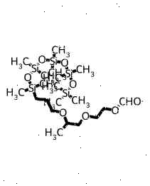 CC(COCCO[C]=O)OCCC[Si](C)(C)O[Si](C)(C)O[Si](C)(C)O[Si](C)(C)O[Si](C)(C)C